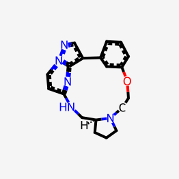 c1cc2cc(c1)-c1cnn3ccc(nc13)NC[C@@H]1CCCN1CCO2